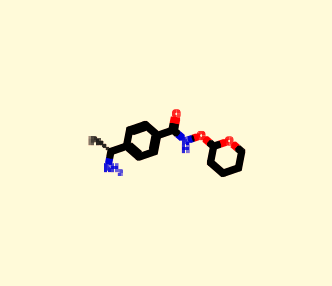 CC(C)[C@@H](N)c1ccc(C(=O)NOC2CCCCO2)cc1